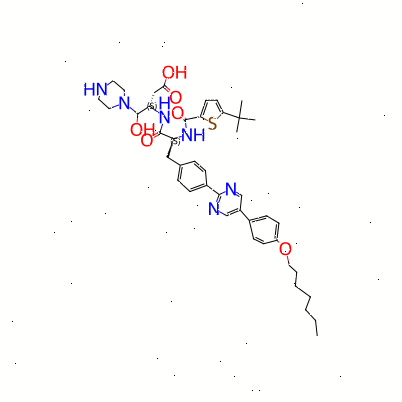 CCCCCCCOc1ccc(-c2cnc(-c3ccc(C[C@H](NC(=O)c4ccc(C(C)(C)C)s4)C(=O)N[C@@H](CC(=O)O)C(O)N4CCNCC4)cc3)nc2)cc1